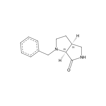 O=C1NC[C@@H]2CCN(Cc3ccccc3)[C@H]12